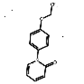 O=c1ccccn1-c1ccc(OCC(F)(F)F)cc1